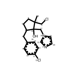 CC1(CCl)CCC(Cc2ccc(Cl)cc2)C1(O)Cn1ccnc1